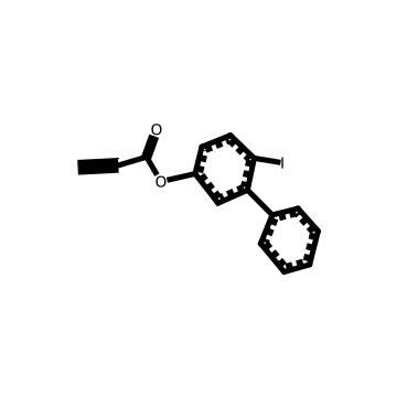 C#CC(=O)Oc1ccc(I)c(-c2ccccc2)c1